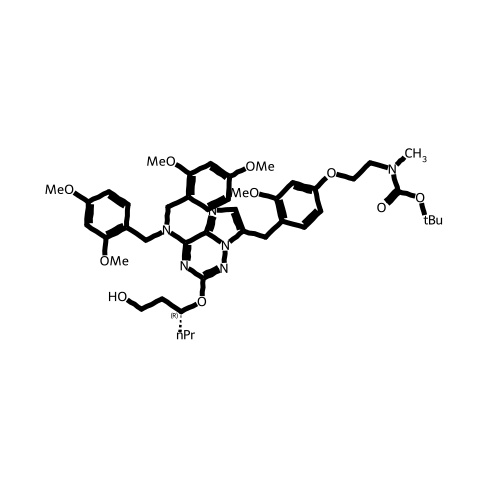 CCC[C@H](CCO)Oc1nc(N(Cc2ccc(OC)cc2OC)Cc2ccc(OC)cc2OC)c2ncc(Cc3ccc(OCCN(C)C(=O)OC(C)(C)C)cc3OC)n2n1